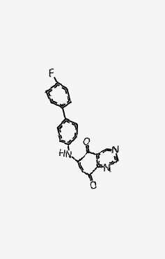 O=C1C(Nc2ccc(-c3ccc(F)cc3)cc2)=CC(=O)c2ncncc21